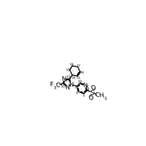 CS(=O)(=O)c1ccc(-n2nc(C(F)(F)F)nc2C2C=CCCC2)cn1